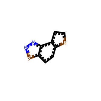 c1cc2c(ccc3snnc32)s1